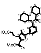 COC(=O)c1sc(-c2cccc(N(C(=O)C3CCCCC3)C3CCCCC3)c2)c(C)c1OCC(=O)O